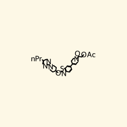 CCCc1cnc(N2CCC(Oc3nc4ccc(C5=CCN(C(=O)COC(C)=O)CC5)cc4s3)CC2)nc1